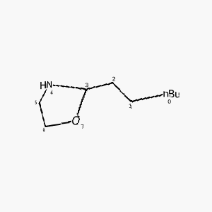 CCCCCCC1NCCO1